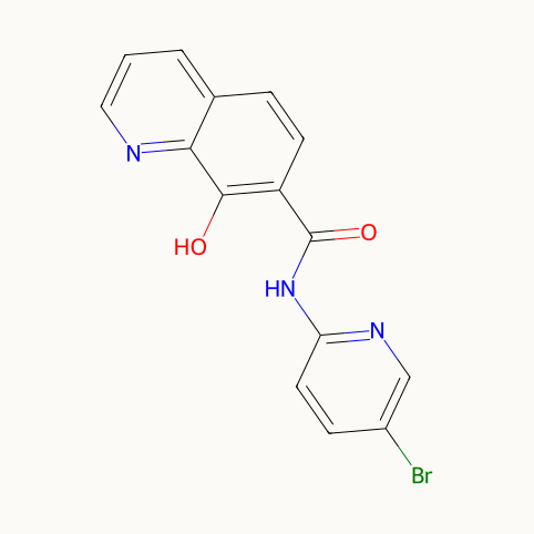 O=C(Nc1ccc(Br)cn1)c1ccc2cccnc2c1O